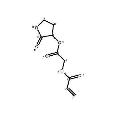 C=CC(=O)OCC(=O)OC1CCOC1=O